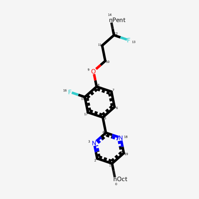 CCCCCCCCc1cnc(-c2ccc(OCCC(F)CCCCC)c(F)c2)nc1